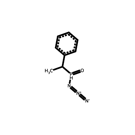 CC(c1ccccc1)[PH](=O)N=[N+]=[N-]